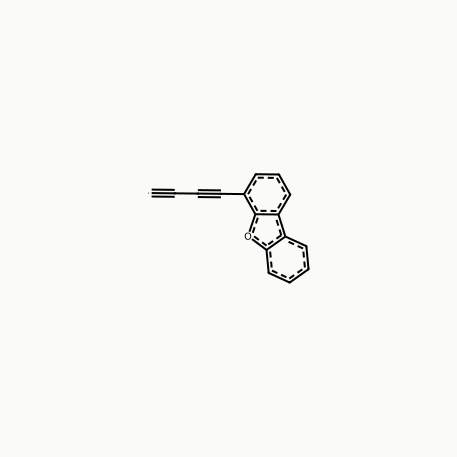 [C]#CC#Cc1cccc2c1oc1ccccc12